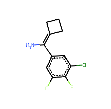 NC(=C1CCC1)c1cc(F)c(F)c(Cl)c1